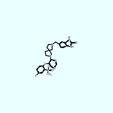 CP(C)(=O)c1cc(F)ccc1Oc1cncnc1N1CCC2(CCN(Cc3ccc4[nH]c(=O)[nH]c4c3)C2)C1